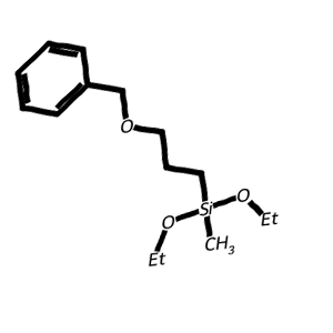 CCO[Si](C)(CCCOCc1ccccc1)OCC